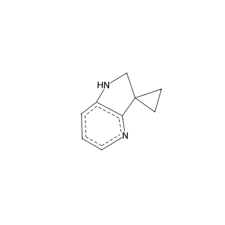 c1cnc2c(c1)NCC21CC1